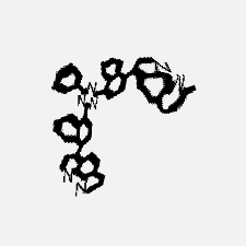 CC1CC=c2ccc3c(-c4ccc(-c5nc(-c6ccccc6)nc(-c6ccc(-c7ccnc8c7ccc7cccnc78)c7ccccc67)n5)c5ccccc45)ccnc3c2=N1